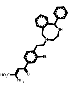 CCc1cc(C(=O)C=C(N)C(=O)O)ccc1CCN1CCNC(c2ccccc2)c2ccccc2C1